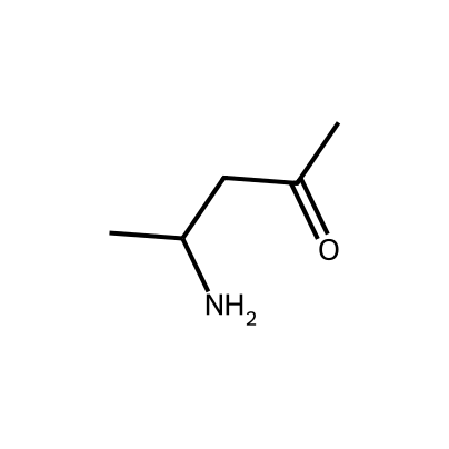 CC(=O)CC(C)N